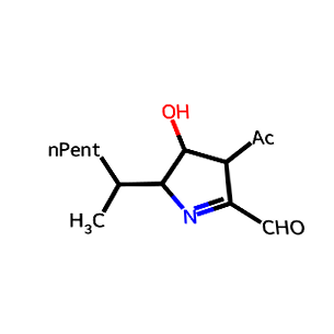 CCCCCC(C)C1N=C(C=O)C(C(C)=O)C1O